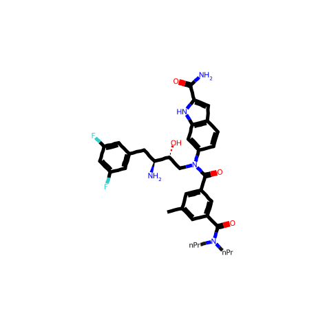 CCCN(CCC)C(=O)c1cc(C)cc(C(=O)N(C[C@@H](O)[C@@H](N)Cc2cc(F)cc(F)c2)c2ccc3cc(C(N)=O)[nH]c3c2)c1